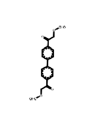 O=COCC(=O)c1ccc(-c2ccc(C(=O)COC=O)cc2)cc1